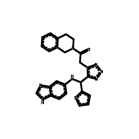 O=C(Cn1nnnc1C(Nc1ccc2[nH]cnc2c1)c1cccs1)N1CCc2ccccc2C1